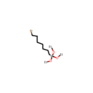 CCO[Si](CCCCCCCBr)(OCC)OCC